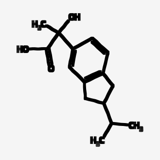 CC(C)C1Cc2ccc(C(C)(O)C(=O)O)cc2C1